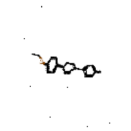 CCSc1ccc(C2C=CC(c3ccc(C)cc3)CC2)cc1